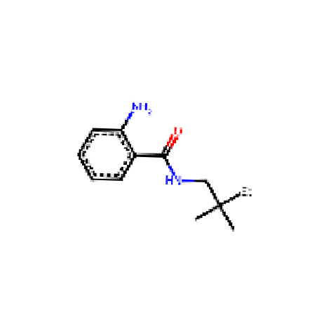 CCC(C)(C)CNC(=O)c1ccccc1N